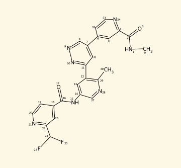 CNC(=O)c1cc(-c2cnnc(-c3cc(NC(=O)c4ccnc(C(F)F)c4)cnc3C)c2)ccn1